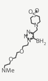 Bc1c(CN2CCS(=O)(=O)CC2)nnn1CCOCCOCCNC